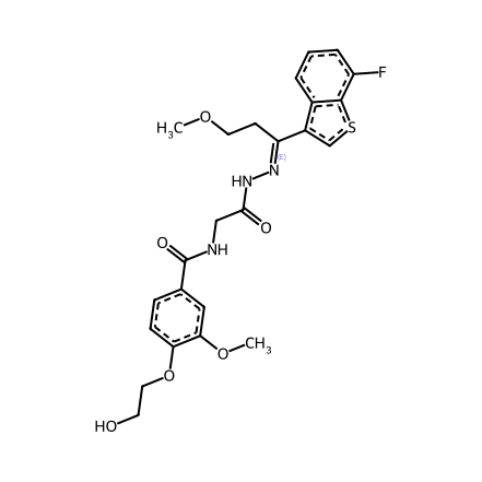 COCC/C(=N\NC(=O)CNC(=O)c1ccc(OCCO)c(OC)c1)c1csc2c(F)cccc12